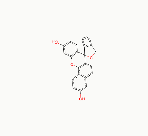 Oc1ccc2c(c1)Oc1c(ccc3cc(O)ccc13)C21OCc2ccccc21